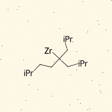 CC(C)CC[C]([Zr])(CC(C)C)CC(C)C